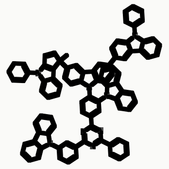 CC1(c2ccc3c(c2)c2cc(-c4ccc5c(c4)c4ccccc4n5-c4ccccc4)ccc2n3-c2ccc(-c3nc(-c4ccccc4)nc(-c4cccc(-n5c6ccccc6c6ccccc65)c4)n3)cc2-n2c3ccccc3c3ccccc32)C=Cc2c1c1ccccc1n2C1=CCCC=C1